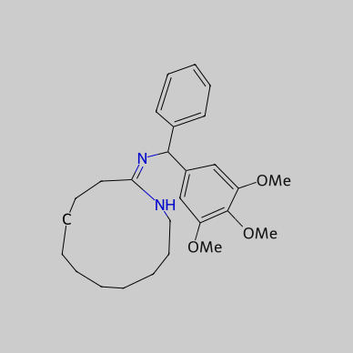 COc1cc(C(/N=C2/CCCCCCCCCCN2)c2ccccc2)cc(OC)c1OC